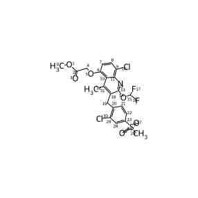 COC(=O)COc1ccc(Cl)c2nc(OC(F)F)c(Cc3ccc(S(C)(=O)=O)cc3Cl)c(C)c12